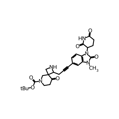 Cn1c(=O)n(C2CCC(=O)NC2=O)c2ccc(C#CCC3NCC34CN(C(=O)OC(C)(C)C)CCC4=O)cc21